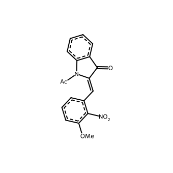 COc1cccc(/C=C2/C(=O)c3ccccc3N2C(C)=O)c1[N+](=O)[O-]